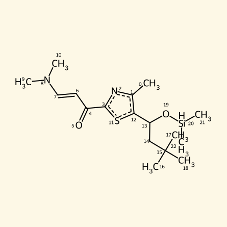 Cc1nc(C(=O)/C=C/N(C)C)sc1C(CC(C)(C)C)O[SiH](C)C